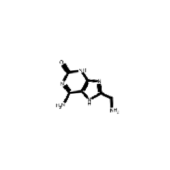 NCc1nc2[nH]c(=O)nc(N)c2[nH]1